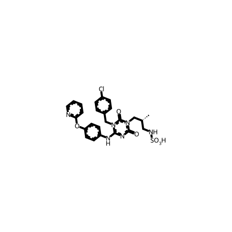 C[C@H](CNS(=O)(=O)O)Cn1c(=O)nc(Nc2ccc(Oc3ccccn3)cc2)n(Cc2ccc(Cl)cc2)c1=O